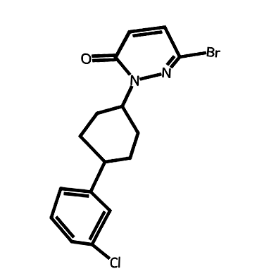 O=c1ccc(Br)nn1C1CCC(c2cccc(Cl)c2)CC1